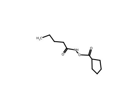 CCCCC(=O)NOC(=O)C1CCCC1